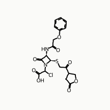 O=C(COc1ccccc1)N[C@@H]1C(=O)N(C(Cl)C(=O)O)[C@@H]1SCC(=O)C1COC(=O)C1